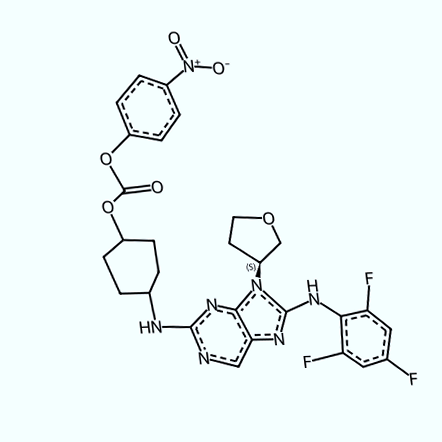 O=C(Oc1ccc([N+](=O)[O-])cc1)OC1CCC(Nc2ncc3nc(Nc4c(F)cc(F)cc4F)n([C@H]4CCOC4)c3n2)CC1